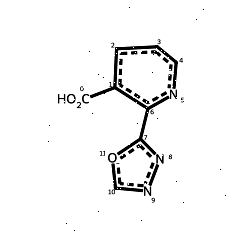 O=C(O)c1cccnc1-c1nnco1